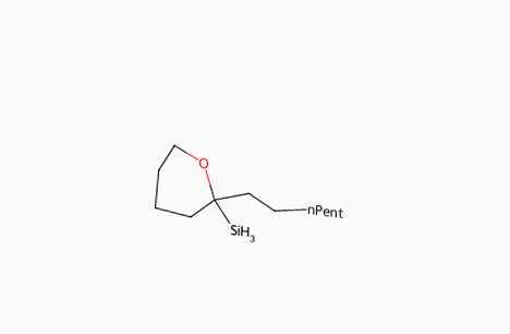 CCCCCCCC1([SiH3])CCCCO1